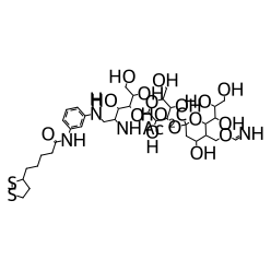 CC(=O)NC(CNc1cccc(NC(=O)CCCCC2CCSS2)c1)C(O)C(OC1OC(CO)C(O)C(OC2(C(=O)O)CC(O)C(COC=N)C(C(O)C(O)CO)O2)C1O)C(O)CO